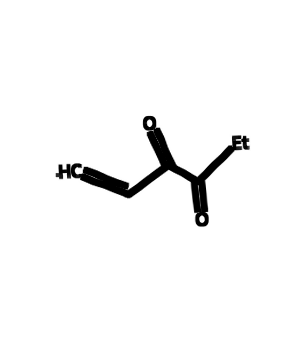 [CH]=CC(=O)C(=O)CC